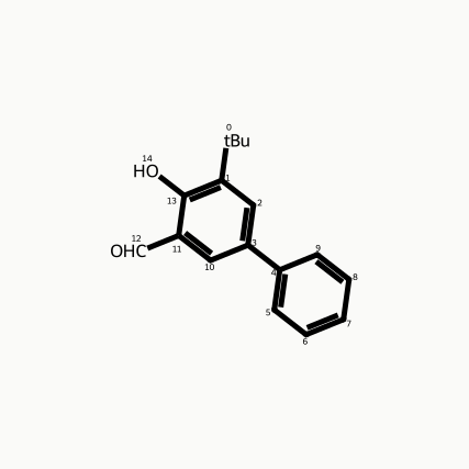 CC(C)(C)c1cc(-c2ccccc2)cc(C=O)c1O